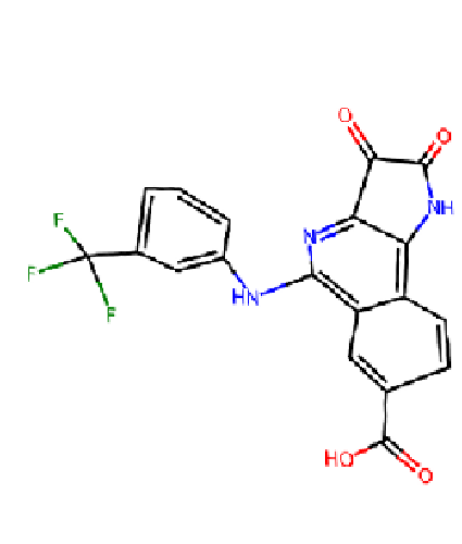 O=C1Nc2c(nc(Nc3cccc(C(F)(F)F)c3)c3cc(C(=O)O)ccc23)C1=O